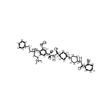 CN(C)CCC(CSc1ccccc1)Nc1ccc(S(=O)(=O)NC(=O)c2ccc(N3CCC(NC(=O)c4ccccc4Br)CC3)cc2)cc1N=O